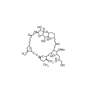 C=C1CC2CCC(=O)C[C@H]3OC4C(O)[C@H]5OC(CCC5O[C@H]4C3O)CC(=O)CC3[C@@H](OC)C(CC(O)CO)O[C@H]3CC3C[C@@H](CCC1O2)C[C@@H](C)C3=C